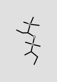 CCC(O[Si](C)(C)C(C)CC)[Si](C)(C)C